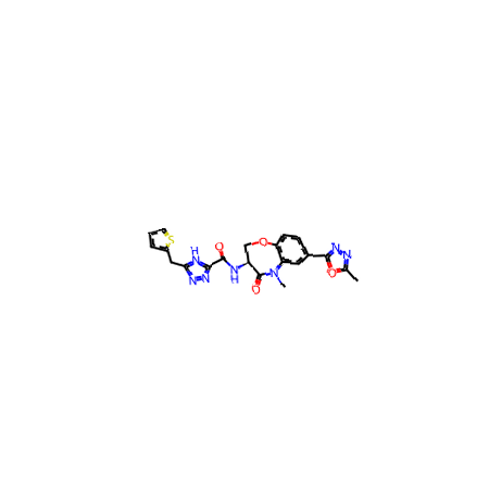 Cc1nnc(-c2ccc3c(c2)N(C)C(=O)[C@@H](NC(=O)c2nnc(Cc4cccs4)[nH]2)CO3)o1